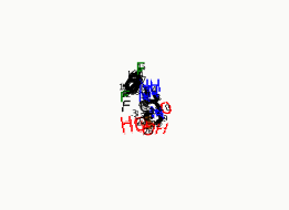 O=C(c1cnc(NC23CC4CC(F)(CC(F)(C4)C2)C3)nc1C(F)(F)F)N1CCS(O)(O)CC1